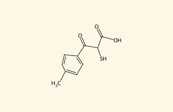 Cc1ccc(C(=O)C(S)C(=O)O)cc1